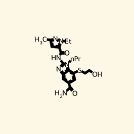 CCCn1c(NC(=O)c2cc(C)nn2CC)nc2cc(C(N)=O)cc(SCCO)c21